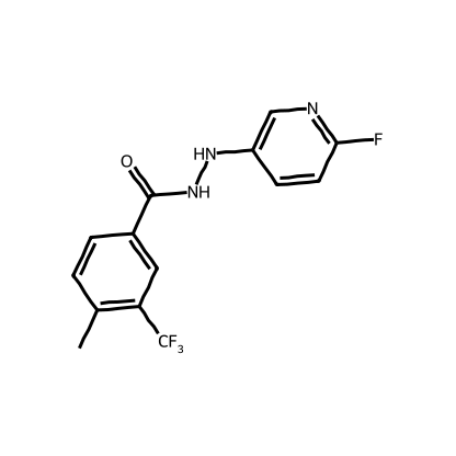 Cc1ccc(C(=O)NNc2ccc(F)nc2)cc1C(F)(F)F